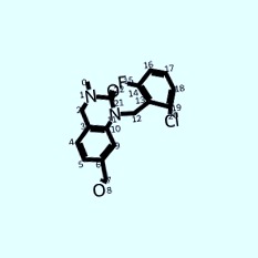 CN1Cc2ccc(C=O)cc2N(Cc2c(F)cccc2Cl)C1=O